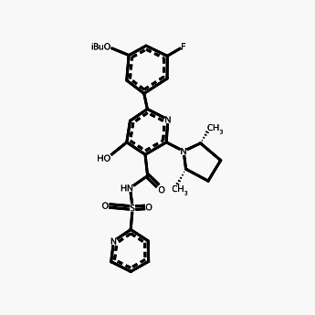 CC(C)COc1cc(F)cc(-c2cc(O)c(C(=O)NS(=O)(=O)c3ccccn3)c(N3[C@H](C)CC[C@@H]3C)n2)c1